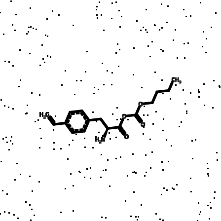 C=Cc1ccc(C[C@H](N)C(=O)OC(=O)OCCCC)cc1